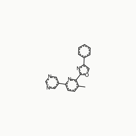 Cc1ccc(-c2cncnc2)nc1-c1nc(-c2ccccc2)co1